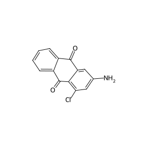 Nc1cc(Cl)c2c(c1)C(=O)c1ccccc1C2=O